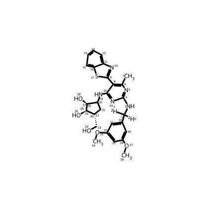 [2H]C([2H])(Nc1nc(C)c(-c2nc3ccccc3s2)c(NC2C[C@H](CO)[C@@H](O)[C@H]2O)n1)c1cc(OC)cc(OC)c1